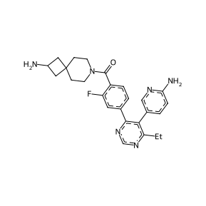 CCc1ncnc(-c2ccc(C(=O)N3CCC4(CC3)CC(N)C4)c(F)c2)c1-c1ccc(N)nc1